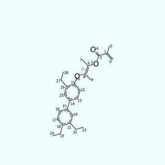 C=C(C)C(=O)O/C(C)=C(\C)Oc1ccc(-c2ccc(CC)c(CC)c2)cc1CC